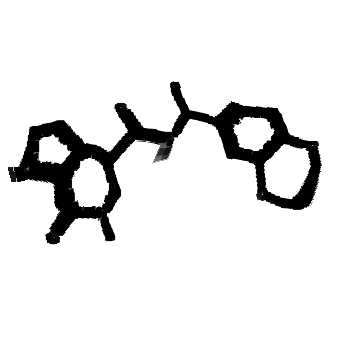 CC(NC(=O)c1cn(C)c(=O)c2[nH]ccc12)c1ccc2c(c1)OCCO2